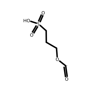 O=[C]OCCCS(=O)(=O)O